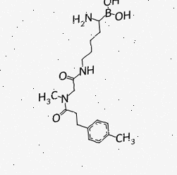 Cc1ccc(CCC(=O)N(C)CC(=O)NCCCCC(N)B(O)O)cc1